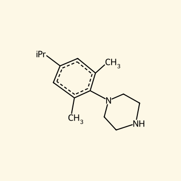 Cc1cc(C(C)C)cc(C)c1N1CCNCC1